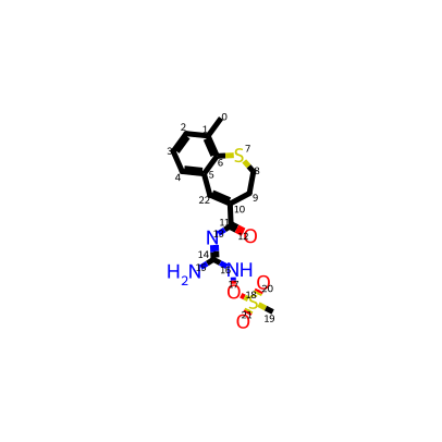 Cc1cccc2c1SCCC(C(=O)N=C(N)NOS(C)(=O)=O)=C2